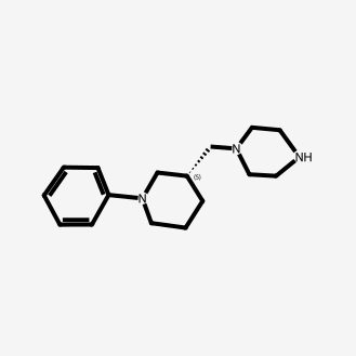 c1ccc(N2CCC[C@@H](CN3CCNCC3)C2)cc1